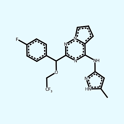 Cc1cc(Nc2nc(C(OCC(F)(F)F)c3ccc(F)cc3)nn3cccc23)n[nH]1